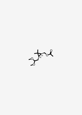 COC(C[C@@H]1[C@H](COC(C)=O)C1(C)C)OC